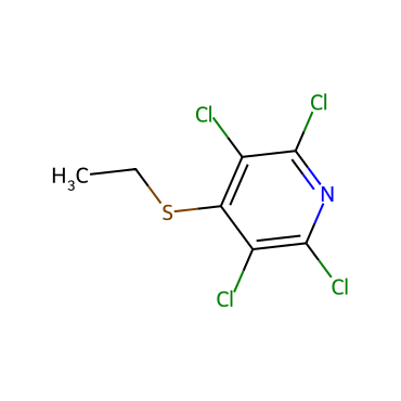 CCSc1c(Cl)c(Cl)nc(Cl)c1Cl